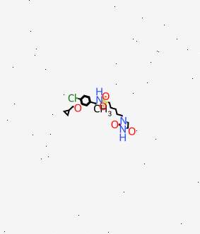 CC(NS(=O)(=O)CCCCCN1CC(=O)NC1=O)c1ccc(Cl)c(OCC2CC2)c1